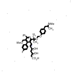 CNC(C)Cc1ccc(OCOC(C)(C)c2nc(C(C)C)c(COC)c(-c3ccc(F)cc3)c2/C=C/[C@@H](O)C[C@@H](O)CC(=O)O)cc1